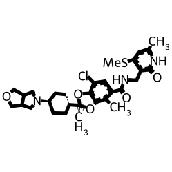 CSc1cc(C)[nH]c(=O)c1CNC(=O)c1cc(Cl)c2c(c1C)O[C@@](C)([C@H]1CC[C@H](N3CC4COCC4C3)CC1)O2